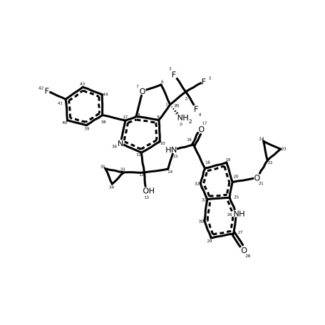 N[C@@]1(C(F)(F)F)COc2c1cc(C(O)(CNC(=O)c1cc(OC3CC3)c3[nH]c(=O)ccc3c1)C1CC1)nc2-c1ccc(F)cc1